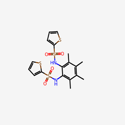 Cc1c(C)c(C)c(NS(=O)(=O)c2cccs2)c(NS(=O)(=O)c2cccs2)c1C